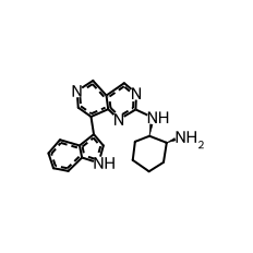 N[C@H]1CCCC[C@H]1Nc1ncc2cncc(-c3c[nH]c4ccccc34)c2n1